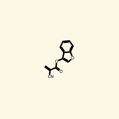 C=C(C#N)C(=O)Oc1coc2ccccc12